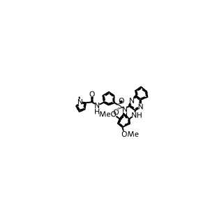 COc1cc(Nc2nc3ccccc3nc2NS(=O)(=O)c2cccc(NC(=O)c3cccn3C)c2)cc(OC)c1